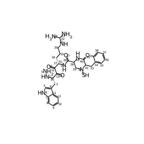 NN[C@@H](Cc1c[nH]c2ccccc12)C(=O)C(=O)[C@H](CCCNC(N)N)NC(=O)C1CN(S)C(Cc2ccccc2)C(=O)N1